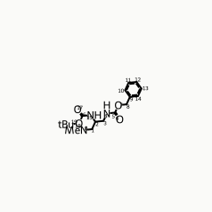 CNCC(CNC(=O)OCc1ccccc1)NC(=O)OC(C)(C)C